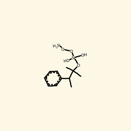 CC(c1ccccc1)C(C)(C)O[Si](O)(O)OO[SiH3]